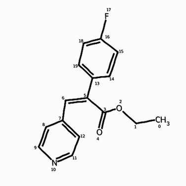 CCOC(=O)C(=Cc1ccncc1)c1ccc(F)cc1